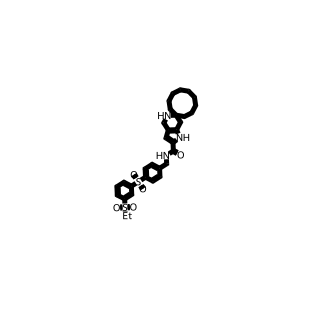 CCS(=O)(=O)c1cccc(S(=O)(=O)c2ccc(CNC(=O)c3cc4c([nH]3)CC3(CCCCCCCCC3)NC4)cc2)c1